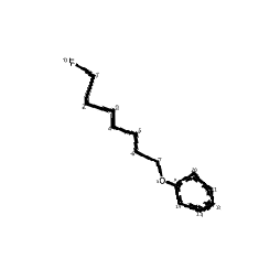 FCCCCCCCOc1cc[c]cc1